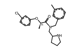 Cc1cccc(CN(CC2CCCN2)C(=O)[C@@H](C)Oc2cccc(Cl)c2)c1